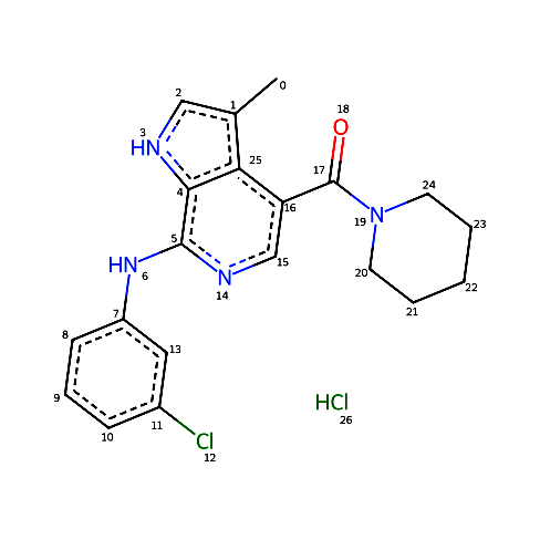 Cc1c[nH]c2c(Nc3cccc(Cl)c3)ncc(C(=O)N3CCCCC3)c12.Cl